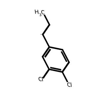 CC[CH]c1ccc(Cl)c(Cl)c1